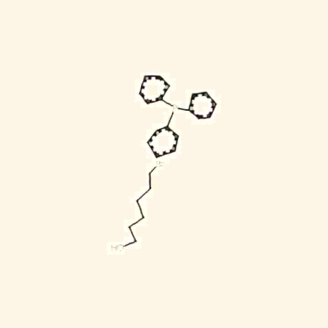 OCCCCCCBr.c1ccc(P(c2ccccc2)c2ccccc2)cc1